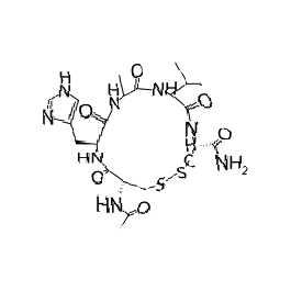 CC(=O)N[C@H]1CSSC[C@@H](C(N)=O)NC(=O)C(C(C)C)NC(=O)C(C)NC(=O)[C@H](Cc2c[nH]cn2)NC1=O